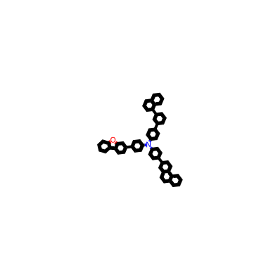 c1cc(-c2ccc(N(c3ccc(-c4ccc5c(ccc6ccccc65)c4)cc3)c3ccc(-c4ccc5c(c4)oc4ccccc45)cc3)cc2)cc(-c2cccc3ccccc23)c1